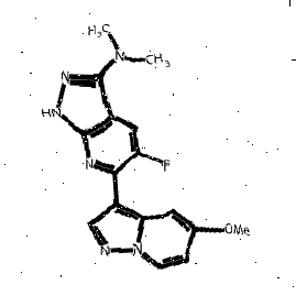 COc1ccn2ncc(-c3nc4[nH]nc(N(C)C)c4cc3F)c2c1